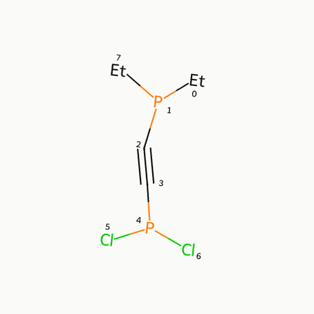 CCP(C#CP(Cl)Cl)CC